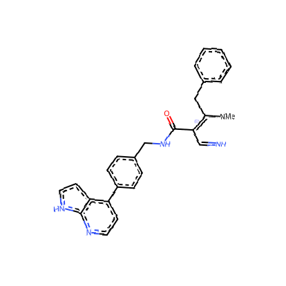 CN/C(Cc1ccccc1)=C(\C=N)C(=O)NCc1ccc(-c2ccnc3[nH]ccc23)cc1